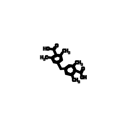 Cc1cc(Cc2cc(C)c(C(=O)O)c(C)c2)cc(C)c1C(=O)O